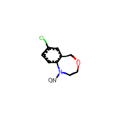 O=NN1CCOCc2cc(Cl)ccc21